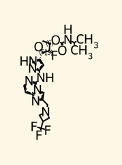 CC(C)NC(=O)O[C@H]1CO[C@@H](c2cc(Nc3nccc4nc(CN5CC(C(F)(F)F)C5)cn34)n[nH]2)[C@@H]1F